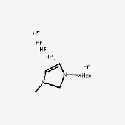 B.CCCCCCN1C=CN(C)C1.F.F.F.F